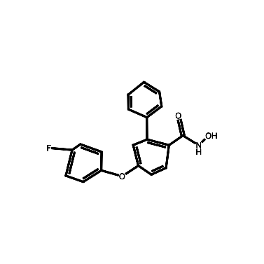 O=C(NO)c1ccc(Oc2ccc(F)cc2)cc1-c1ccccc1